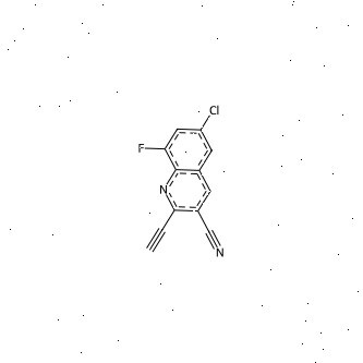 C#Cc1nc2c(F)cc(Cl)cc2cc1C#N